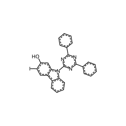 Oc1cc2c(cc1I)c1ccccc1n2-c1nc(-c2ccccc2)nc(-c2ccccc2)n1